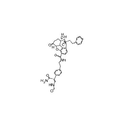 NC(=O)/C(=C\NC=O)c1ccc(CCNC(=O)c2ccc3c4c2O[C@H]2C(=O)CC[C@@]5(O)[C@@H](C3)N(CCc3ccccc3)CC[C@]425)cc1